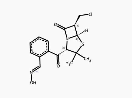 CC1(C)S[C@@H]2[C@H](CCl)C(=O)N2[C@H]1C(=O)c1ccccc1/C=N/O